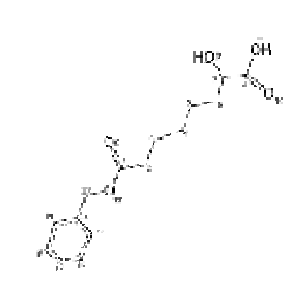 O=C(CCCCCC(O)C(=O)O)OCc1ccccc1